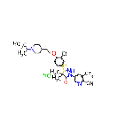 CCc1cc([SH]2NN(c3cnc(C#N)c(C(F)(F)F)c3)C(=O)C2(C)C)ccc1OCCC1CCN([C@@H](C)C(=O)O)CC1.Cl